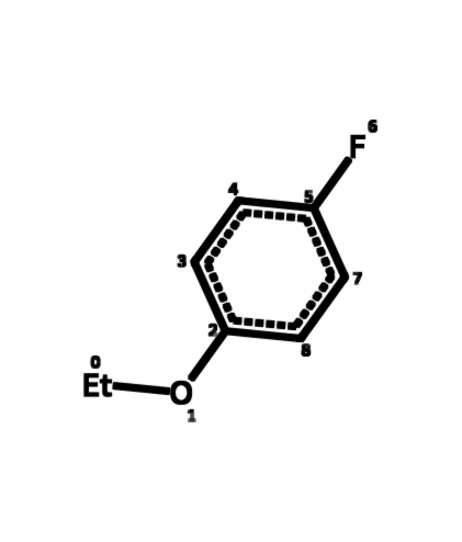 CCOc1ccc(F)cc1